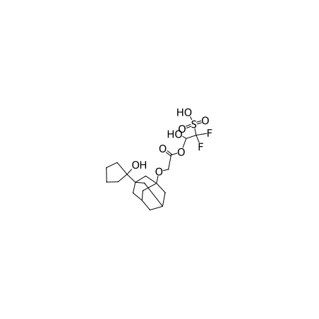 O=C(COC12CC3CC(C1)CC(C1(O)CCCC1)(C3)C2)OC(O)C(F)(F)S(=O)(=O)O